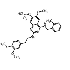 COc1ccc(CCNc2nc(NCc3ccccc3C)c3cc(OC)c(OC)cc3n2)cc1OC.Cl